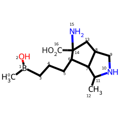 CB(O)CCCC1C2C(CNC2C)CC1(N)C(=O)O